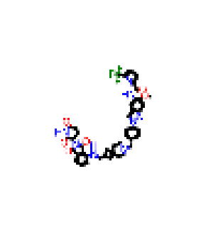 COc1cc2nn([C@H]3CC[C@H](CN4CCC5(CC4)CC(CNc4cccc6c4C(=O)N([C@H]4CCC(=O)NC4=O)C6=O)C5)CC3)cc2cc1NC(=O)c1cccc(C(F)(F)F)n1